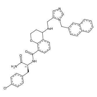 NC(=O)[C@H](Cc1ccc(Cl)cc1)NC(=O)c1cccc2c1OCCC2[AsH]Cc1cncn1Cc1ccc2ccccc2c1